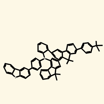 CC(C)(C)c1ccc(-c2ccc3c(c2)C(C)(C)c2ccc(-c4ccccc4N(c4ccc(-c5ccc6sc7ccccc7c6c5)cc4)c4cccc5c4-c4ccccc4C5(C)C)cc2-3)cc1